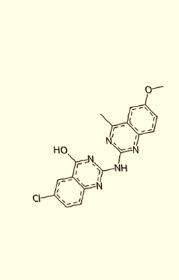 COc1ccc2nc(Nc3nc(O)c4cc(Cl)ccc4n3)nc(C)c2c1